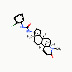 CN1C(=O)C=C[C@]2(C)[C@H]3CC[C@]4(C)[C@@H](NC(=O)Nc5ccccc5Cl)CC[C@H]4[C@@H]3CC[C@@H]12